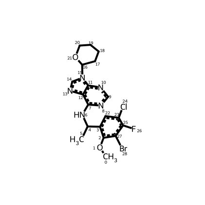 COc1c(C(C)Nc2ncnc3c2ncn3C2CCCCO2)cc(Cl)c(F)c1Br